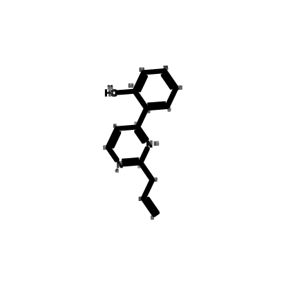 C=CCc1nccc(-c2ccccc2O)n1